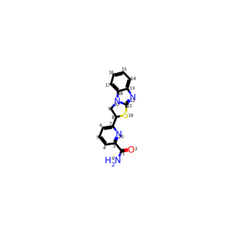 NC(=O)c1cccc(C2Cn3c(nc4ccccc43)S2)n1